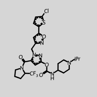 CC(C)N1CCC(NC(=O)Oc2cc(C(=O)N3CCCC3C(F)(F)F)n(Cc3cc(-c4ccc(Cl)s4)on3)n2)CC1